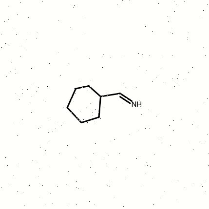 N=CC1CCCCC1